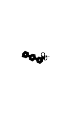 O=[N+]([O-])c1cccc(-c2ccc(-c3ccccc3)cc2)c1